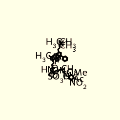 COc1cc(C(C)=O)c([N+](=O)[O-])cc1OCCN(C)CCOC(=O)C(CS(=O)(=O)O)NC(=O)CCC1=[N+]2C(=Cc3c(CCC[N+](C)(C)C)cc(-c4ccccc4)n3[B-]2(F)F)C(C)=C1